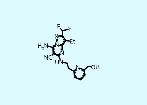 CCc1c(C(F)F)nn2c(N)c(C#N)c(NCCc3cccc(CO)n3)nc12